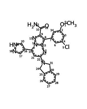 COc1cc(Cl)cc(-c2c(C(N)=O)nn3c(-c4cn[nH]c4)cc(N4Cc5ccccc5C4)nc23)c1